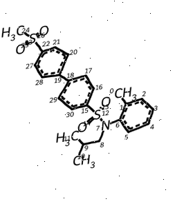 Cc1ccccc1N(CC(C)C)S(=O)(=O)c1ccc(-c2ccc(S(C)(=O)=O)cc2)cc1